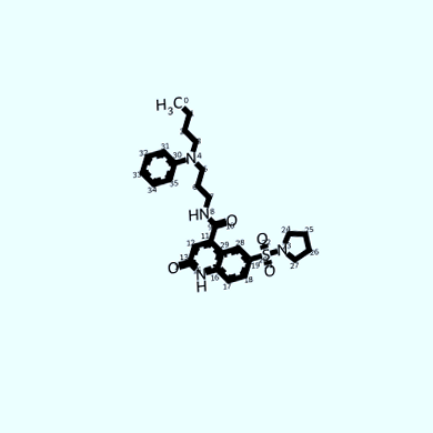 CCCCN(CCCNC(=O)c1cc(=O)[nH]c2ccc(S(=O)(=O)N3CCCC3)cc12)c1ccccc1